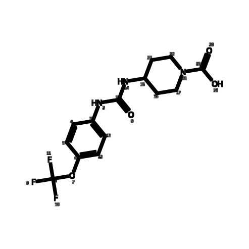 O=C(Nc1ccc(OC(F)(F)F)cc1)NC1CCN(C(=O)O)CC1